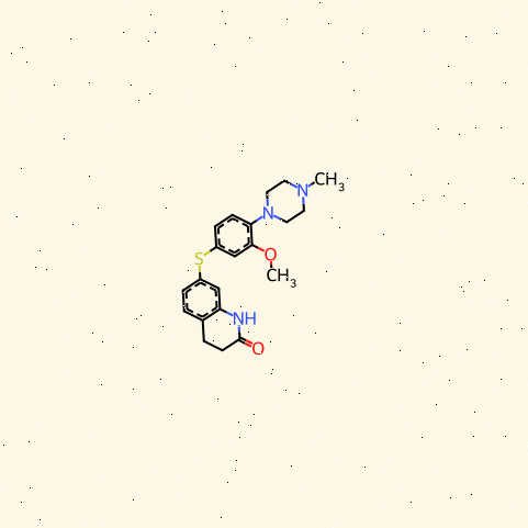 COc1cc(Sc2ccc3c(c2)NC(=O)CC3)ccc1N1CCN(C)CC1